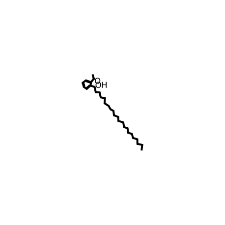 CCCCCCCCCCCCCCCCCCCCCC(O)c1ccccc1C(C)=O